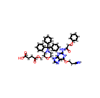 N#CCCOc1nc(NC(=O)COc2ccccc2)nc2c1ncn2[C@H]1CN(C(c2ccccc2)(c2ccccc2)c2ccccc2)C[C@@H](COC(=O)CCC(=O)O)O1